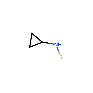 [S]NC1CC1